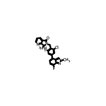 [2H]C1([2H])c2ncccc2C(=O)N1Cc1c(F)cc(-c2ccc(F)c3nn(C)cc23)cc1Cl